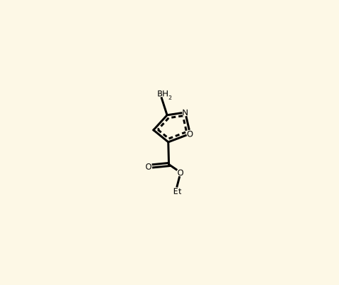 Bc1cc(C(=O)OCC)on1